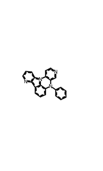 c1ccc(N2c3cnccc3-n3c4cccnc4c4cccc2c43)cc1